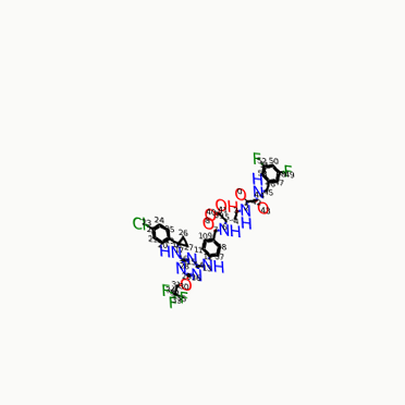 O=C(NCC[C@H](NC(=O)c1ccc(Nc2nc(NC3(c4ccc(Cl)cc4)CC3)nc(OCC(F)(F)F)n2)cc1)C(=O)O)C(=O)NCc1cc(F)cc(F)c1